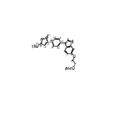 COCCOc1ccc2c(c1)ncn2-c1[c]cc(-c2cc(C(C)(C)C)nn2C)cc1